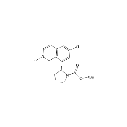 [CH2]N1C=Cc2cc(Cl)cc(C3CCCN3C(=O)OC(C)(C)C)c2C1